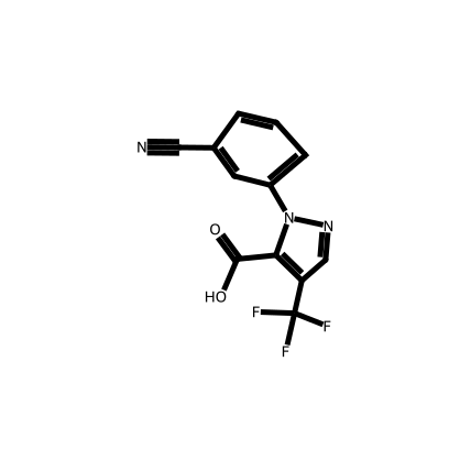 N#Cc1cccc(-n2ncc(C(F)(F)F)c2C(=O)O)c1